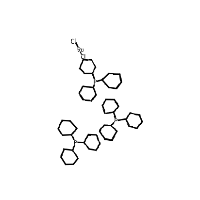 C1CCC(P(C2CCCCC2)C2CCCCC2)CC1.C1CCC(P(C2CCCCC2)C2CCCCC2)CC1.C1CCC(P(C2CCCCC2)C2CCCCC2)CC1.[Cl][Ru][Cl]